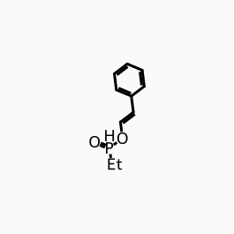 CC[PH](=O)OC=Cc1ccccc1